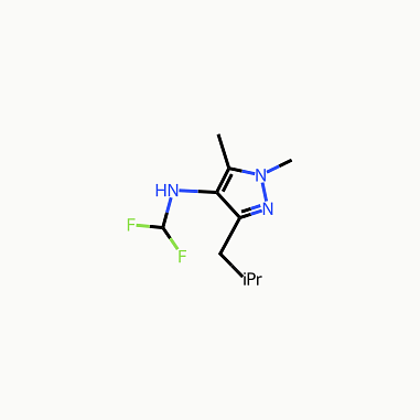 Cc1c(NC(F)F)c(CC(C)C)nn1C